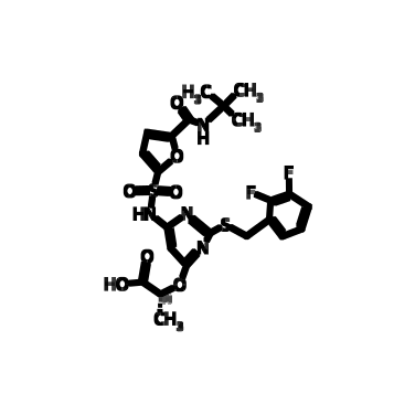 C[C@@H](Oc1cc(NS(=O)(=O)c2ccc(C(=O)NC(C)(C)C)o2)nc(SCc2cccc(F)c2F)n1)C(=O)O